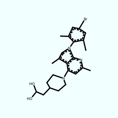 Cc1cc(N2CCC(CC(O)O)CC2)c2c(C)cn(-c3c(C)cc(Br)cc3C)c2n1